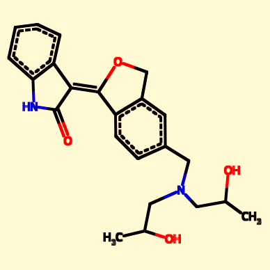 CC(O)CN(Cc1ccc2c(c1)CO/C2=C1/C(=O)Nc2ccccc21)CC(C)O